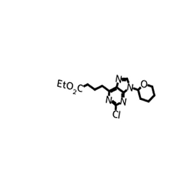 CCOC(=O)CCCc1nc(Cl)nc2c1ncn2C1CCCCO1